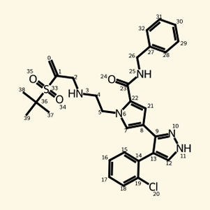 C=C(CNCCn1cc(-c2n[nH]cc2-c2ccccc2Cl)cc1C(=O)NCc1ccccc1)S(=O)(=O)C(C)(C)C